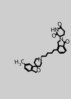 Cc1ccc2c(c1)C1(CCN(CCCCCc3cccc4c3CN(C3CCC(=O)NC3=O)C4=O)CC1)OC2